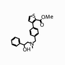 COC(=O)c1sccc1-c1ccc(CN(C)CC(O)c2ccccc2)cc1